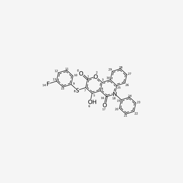 O=c1oc2c(c(O)c1Sc1cccc(F)c1)c(=O)n(-c1ccccc1)c1ccccc21